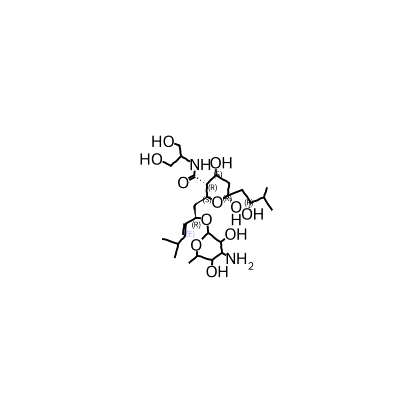 CC(C)/C=C/[C@@H](C[C@@H]1O[C@](O)(C[C@@H](O)C(C)C)C[C@H](O)[C@H]1C(=O)NC(CO)CO)OC1OC(C)C(O)C(N)C1O